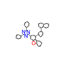 c1ccc(-c2nc(-c3ccccc3)nc(-c3cc(-c4cccc(-c5cccc6ccccc56)c4)c4c(c3)oc3ccccc34)n2)cc1